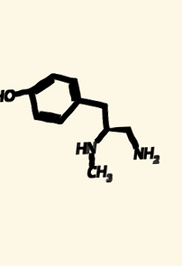 CN[C@H](CN)Cc1ccc(O)cc1